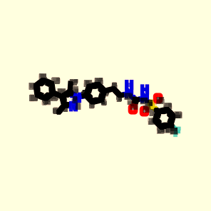 Cc1nn(-c2ccc(CCNC(=O)NS(=O)(=O)c3ccc(F)cc3)cc2)c(C)c1-c1ccccc1